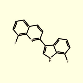 Fc1cccc2ccc(-c3c[nH]c4c(F)cccc34)nc12